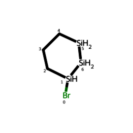 Br[SiH]1CCC[SiH2][SiH2]1